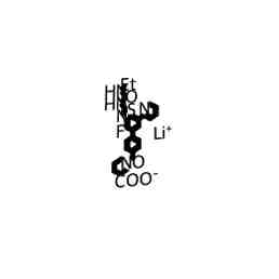 CCNC(=O)Nc1nc2c(F)c(-c3ccc(C(=O)N4CCCC(C(=O)[O-])C4)cc3)cc(-c3ccccn3)c2s1.[Li+]